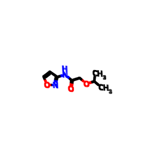 CC(C)OCC(=O)Nc1ccon1